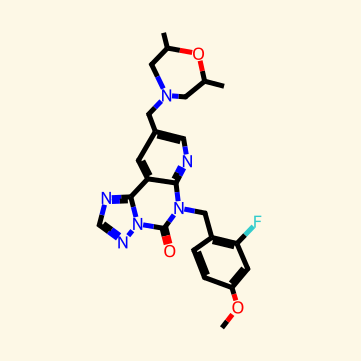 COc1ccc(Cn2c(=O)n3ncnc3c3cc(CN4CC(C)OC(C)C4)cnc32)c(F)c1